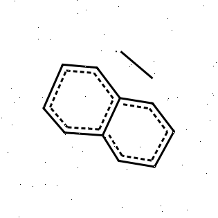 [CH2]C.c1ccc2ccccc2c1